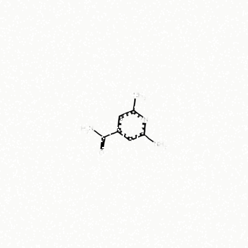 NC(=O)c1cc(N)nc(N)c1